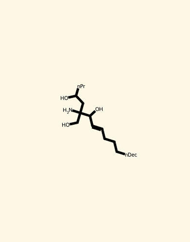 CCCCCCCCCCCCCC=CC(O)C(N)(CO)CC(O)CCC